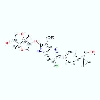 O=Cc1c(O[C@@H]2CO[C@H]3[C@@H]2OC[C@H]3O)[nH]c2cc(Cl)c(-c3ccc(C4(CO)CC4)cc3)nc12